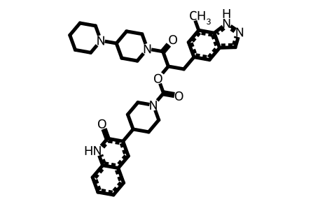 Cc1cc(CC(OC(=O)N2CCC(c3cc4ccccc4[nH]c3=O)CC2)C(=O)N2CCC(N3CCCCC3)CC2)cc2cn[nH]c12